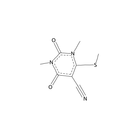 CSc1c(C#N)c(=O)n(C)c(=O)n1C